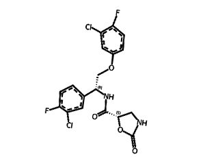 O=C1NC[C@@H](C(=O)N[C@@H](COc2ccc(F)c(Cl)c2)c2ccc(F)c(Cl)c2)O1